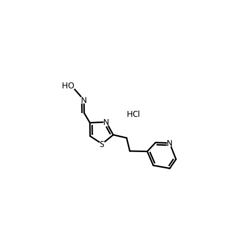 Cl.ON=Cc1csc(CCc2cccnc2)n1